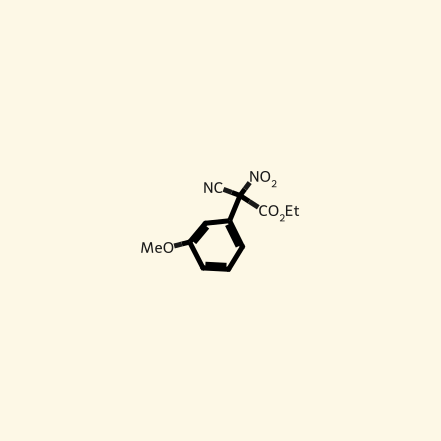 CCOC(=O)C(C#N)(c1cccc(OC)c1)[N+](=O)[O-]